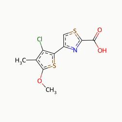 COc1sc(-c2csc(C(=O)O)n2)c(Cl)c1C